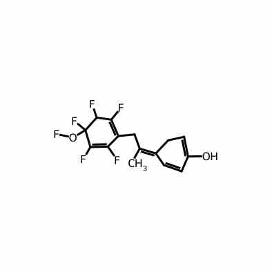 CC(CC1=C(F)C(F)C(F)(OF)C(F)=C1F)=C1C=CC(O)=CC1